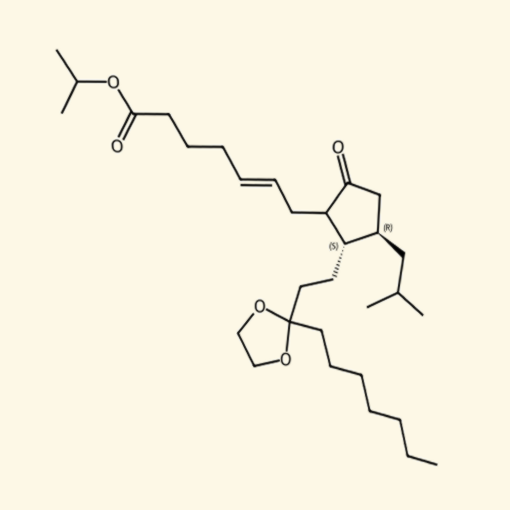 CCCCCCCC1(CC[C@@H]2C(CC=CCCCC(=O)OC(C)C)C(=O)C[C@H]2CC(C)C)OCCO1